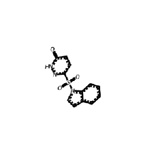 O=c1ccc(S(=O)(=O)n2ccc3ccccc32)n[nH]1